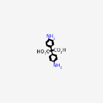 Nc1ccc(C(C(=O)O)(C(=O)O)c2ccc(N)cc2)cc1